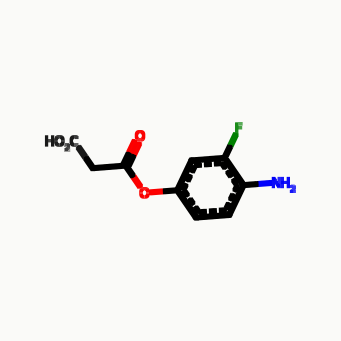 Nc1ccc(OC(=O)CC(=O)O)cc1F